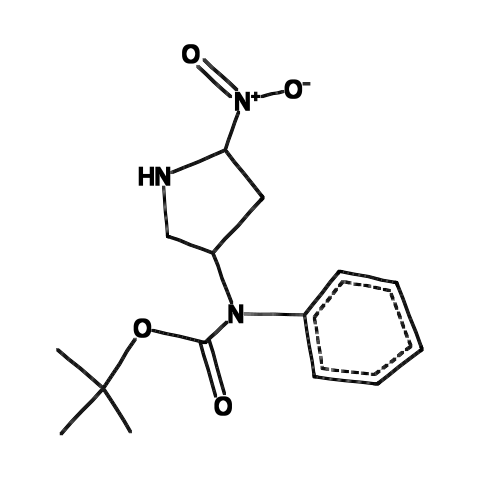 CC(C)(C)OC(=O)N(c1ccccc1)C1CNC([N+](=O)[O-])C1